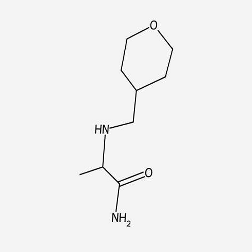 CC(NCC1CCOCC1)C(N)=O